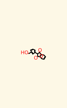 O=C1C(c2cccc(CO)c2)C(=O)C2C3C=CC(O3)C12